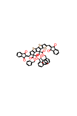 O=C1C(=CC2=Cc3sc4c(c3C2(C(=O)OCc2ccccc2)C(=O)OCc2ccccc2)C(C(=O)OCc2ccccc2)(C(=O)OCc2ccccc2)c2c-4sc3cc(C=C4C(=O)c5ccccc5C4=O)sc23)C(=O)c2ccccc21